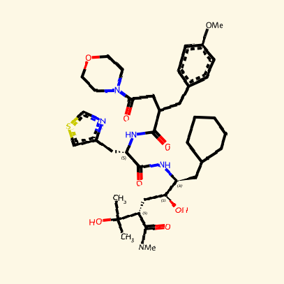 CNC(=O)[C@@H](C[C@H](O)[C@H](CC1CCCCC1)NC(=O)[C@H](Cc1cscn1)NC(=O)C(CC(=O)N1CCOCC1)Cc1ccc(OC)cc1)C(C)(C)O